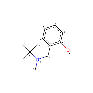 CN(Cc1ccccc1O)C(C)(C)C